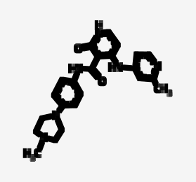 Cc1cc(Nc2cc[nH]c(=O)c2C(=O)Nc2ccc(N3CCN(C)CC3)cc2)ccn1